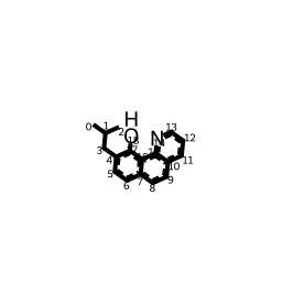 CC(C)Cc1ccc2ccc3cccnc3c2c1O